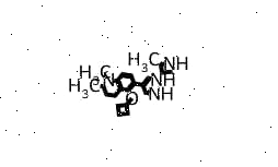 CC1NCC1N/C=C(\C=N)c1ccc2c(c1OC1CCC1)CCC(C)N2C